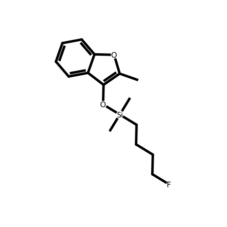 Cc1oc2ccccc2c1O[Si](C)(C)CCCCF